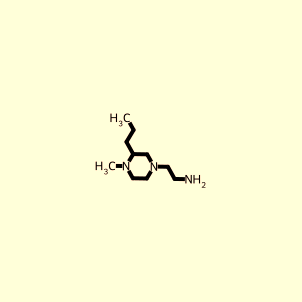 CCCC1CN(CCN)CCN1C